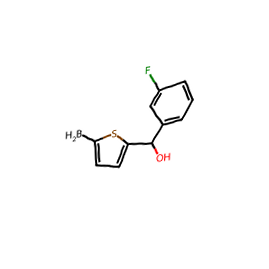 Bc1ccc(C(O)c2cccc(F)c2)s1